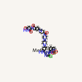 COc1cc(N2CCC(N3CCN(C(=O)C4CCN(c5ccc6c(c5)CN(C5CCC(=O)NC5=O)C6=O)CC4)CC3)CC2)c(C)cc1Nc1ncc(Cl)c(Nc2cccc3c2N(S(C)(=O)=O)CC3)n1